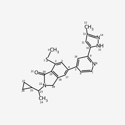 CSc1cc(-c2ccnc(-c3cc(C)n[nH]3)c2)cc2c1C(=O)N(C(C)C1CC1)C2